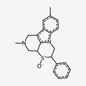 Cc1ccc2c(c1)c1c3n2CC(c2ccccc2)[S+]([O-])C3CN(C)C1